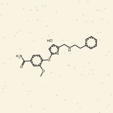 COc1cc(C(N)=O)ccc1Oc1ccc(CNCCc2ccccc2)s1.Cl